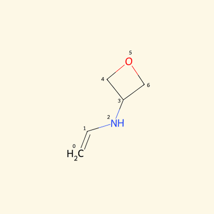 C=CNC1COC1